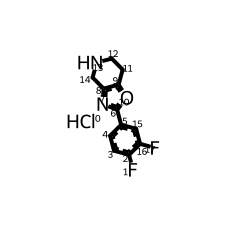 Cl.Fc1ccc(-c2nc3c(o2)CCNC3)cc1F